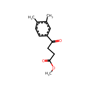 COC(=O)CCC(=O)c1ccc(C)c(C)c1